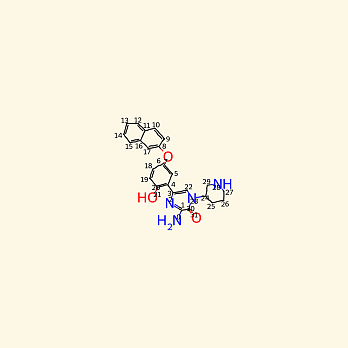 Nc1nc(-c2cc(Oc3ccc4ccccc4c3)ccc2O)cn(C2CCCNC2)c1=O